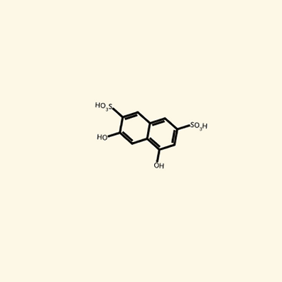 O=S(=O)(O)c1cc(O)c2cc(O)c(S(=O)(=O)O)cc2c1